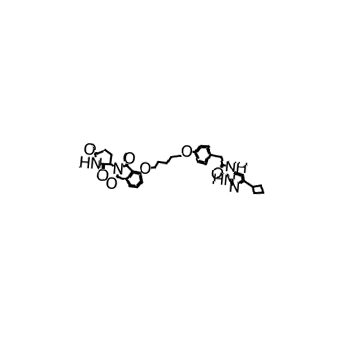 O=C1CCC(N2C(=O)c3cccc(OCCCCCOc4ccc(CC(=O)Nc5cc(C6CCC6)n[nH]5)cc4)c3C2=O)C(=O)N1